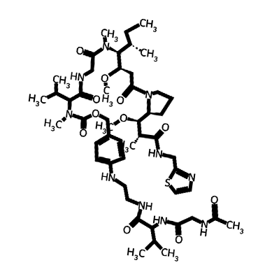 CC[C@H](C)[C@@H]([C@@H](CC(=O)N1CCC[C@H]1[C@H](OC)[C@@H](C)C(=O)NCc1nccs1)OC)N(C)C(=O)CNC(=O)C(C(C)C)N(C)C(=O)OCc1ccc(NCCNC(=O)C(NC(=O)CNC(C)=O)C(C)C)cc1